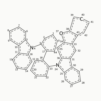 c1ccc(-n2c3ccccc3c3ccccc32)c(-c2ccccc2-n2c3ccccc3c3cc4c(cc32)oc2ccccc24)c1